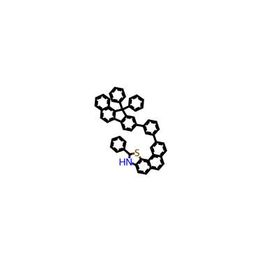 c1ccc(C2Nc3ccc4ccc5ccc(-c6cccc(-c7ccc8c(c7)C(c7ccccc7)(c7ccccc7)c7c-8ccc8ccccc78)c6)cc5c4c3S2)cc1